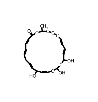 CC1CCC/C=C/C=C/C(O)CC(O)C/C=C\C(O)/C=C/C/C=C/C=C\C(=O)O1